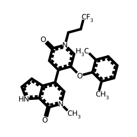 Cc1cccc(C)c1Oc1cn(CCC(F)(F)F)c(=O)cc1-c1cn(C)c(=O)c2[nH]ccc12